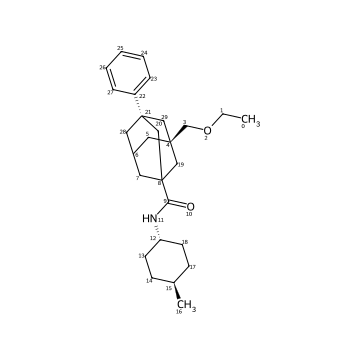 CCOC[C@]12CC3CC(C(=O)N[C@H]4CC[C@H](C)CC4)(C1)C[C@@](c1ccccc1)(C3)C2